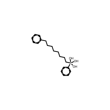 OP(O)(O)(CCCCCCCCc1ccccc1)c1ccccc1